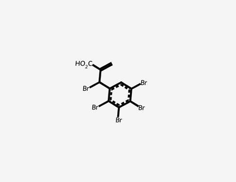 C=C(C(=O)O)C(Br)c1cc(Br)c(Br)c(Br)c1Br